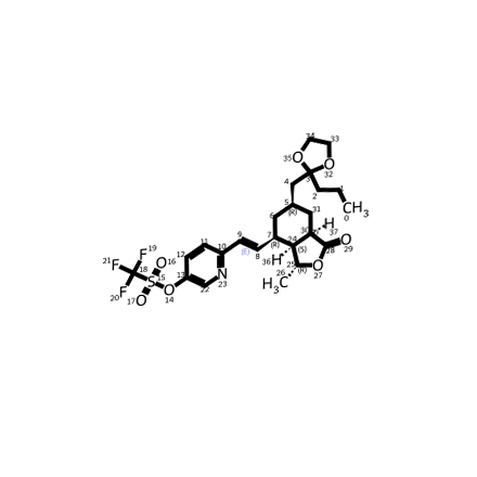 CCCC1(C[C@@H]2C[C@H](/C=C/c3ccc(OS(=O)(=O)C(F)(F)F)cn3)[C@@H]3[C@@H](C)OC(=O)[C@@H]3C2)OCCO1